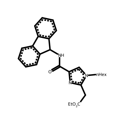 CCCCCCn1cc(C(=O)NC2c3ccccc3-c3ccccc32)nc1CC(=O)OCC